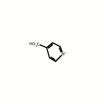 O=C(O)C1=CC=[N+]C=C1